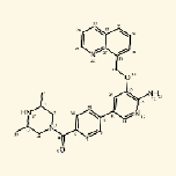 CC1CN(C(=O)c2ccc(-c3cnc(N)c(OCc4cccc5cccnc45)c3)cc2)CC(C)N1